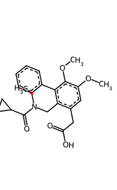 CCN(Cc1c(CC(=O)O)cc(OC)c(OC)c1-c1ccccc1)C(=O)C1CC1